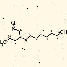 CCCCCCCCC(CCC)CN=O